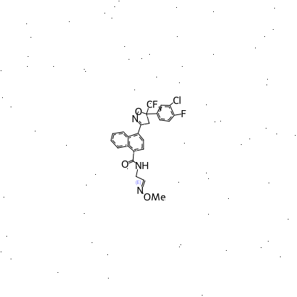 CO/N=C/CNC(=O)c1ccc(C2=NOC(c3ccc(F)c(Cl)c3)(C(F)(F)F)C2)c2ccccc12